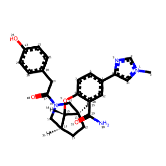 Cn1cnc(-c2ccc(O[C@@H]3[C@@H]4CC[C@H]3CN(C(=O)Cc3ccc(O)cc3)C4)c(C(N)=O)c2)c1